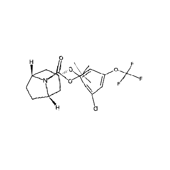 CC(C)(C)OC(=O)N1[C@@H]2CC[C@H]1C[C@@H](Oc1cc(Cl)cc(OC(F)(F)F)c1)C2